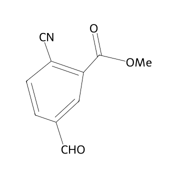 COC(=O)c1cc(C=O)ccc1C#N